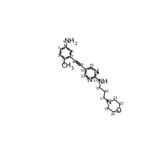 Cc1ccc(N)cc1C#Cc1cnc(NCCCN2CCOCC2)nc1